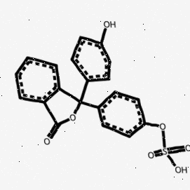 O=C1OC(c2ccc(O)cc2)(c2ccc(OS(=O)(=O)O)cc2)c2ccccc21